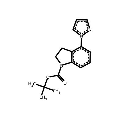 CC(C)(C)OC(=O)N1CCc2c1cccc2-n1cccn1